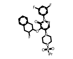 CC(C)S(=O)(=O)N1CCN(c2cnn(-c3cc(F)cc(F)c3)c(=O)c2OC2Cc3ccccc3CC2F)CC1